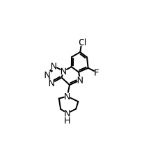 Fc1cc(Cl)cc2c1nc(N1CCNCC1)c1nnnn12